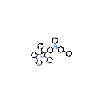 c1ccc(-c2ccc(N(c3ccccc3)c3ccc(-c4c(-c5ccccc5)c5c6ccccc6c6ccccc6n5c4-c4ccccc4)cc3)cc2)cc1